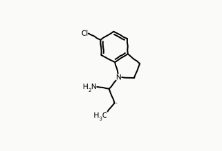 C[CH]C(N)N1CCc2ccc(Cl)cc21